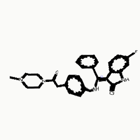 CN1CCN(C(=O)Cc2ccc(N/C(=C3\C(=O)Nc4cc(F)ccc43)c3ccccc3)cc2)CC1